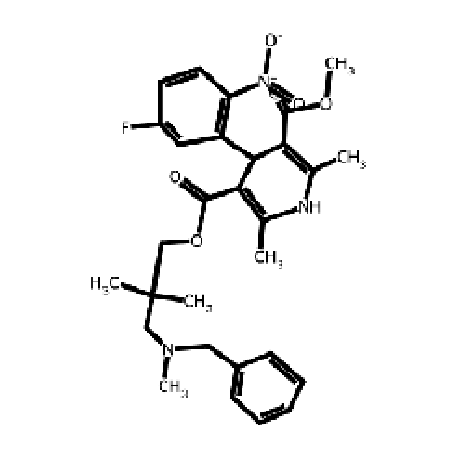 COC(=O)C1=C(C)NC(C)=C(C(=O)OCC(C)(C)CN(C)Cc2ccccc2)C1c1cc(F)ccc1[N+](=O)[O-]